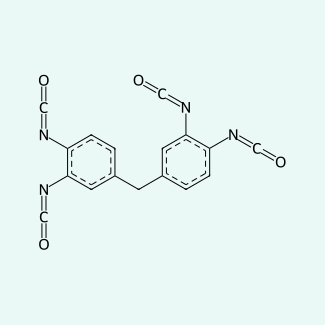 O=C=Nc1ccc(Cc2ccc(N=C=O)c(N=C=O)c2)cc1N=C=O